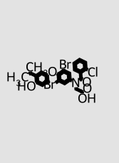 CC(C)c1cc(Oc2c(Br)cc(N(CC(=O)O)C(=O)c3ccccc3Cl)cc2Br)ccc1O